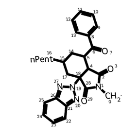 [CH2]N1C(=O)C2C(C(=O)c3ccccc3)CC(CCCCC)CC2(n2nc3ccccc3n2)C1=O